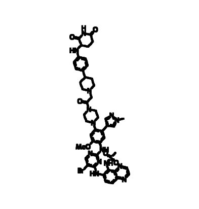 COc1cc(N2CCN(C(=O)CN3CCC(c4ccc(NC5CCC(=O)NC5=O)cc4)CC3)CC2)c(-c2cnn(C)c2)cc1Nc1ncc(Br)c(Nc2ccc3nccnc3c2NS(C)(=O)=O)n1